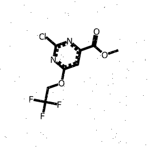 COC(=O)c1cc(OCC(F)(F)F)nc(Cl)n1